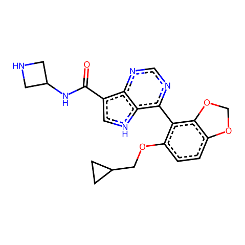 O=C(NC1CNC1)c1c[nH]c2c(-c3c(OCC4CC4)ccc4c3OCO4)ncnc12